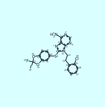 Nc1ncnc2c1nc(Sc1ccc3c(c1)OC(F)(F)O3)n2CCc1ccccc1Cl